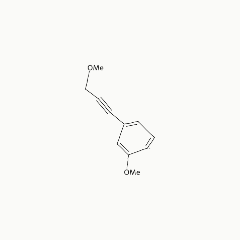 COCC#Cc1cc[c]c(OC)c1